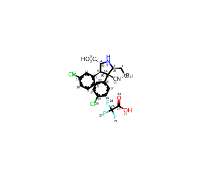 CC(C)(C)C[C@@H]1N[C@@H](C(=O)O)[C@H](c2cccc(Cl)c2)[C@@]1(C#N)c1ccc(Cl)cc1.O=C(O)C(F)(F)F